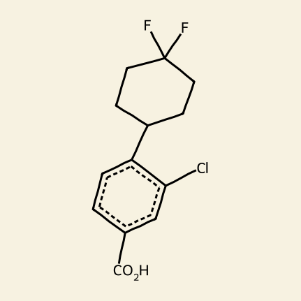 O=C(O)c1ccc(C2CCC(F)(F)CC2)c(Cl)c1